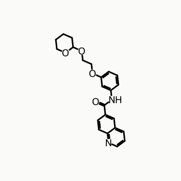 O=C(Nc1cccc(OCCOC2CCCCO2)c1)c1ccc2ncccc2c1